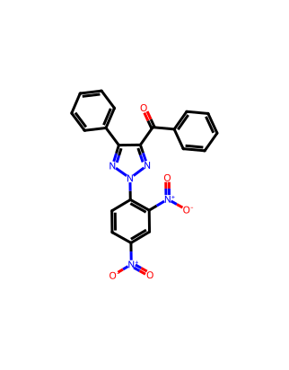 O=C(c1ccccc1)c1nn(-c2ccc([N+](=O)[O-])cc2[N+](=O)[O-])nc1-c1ccccc1